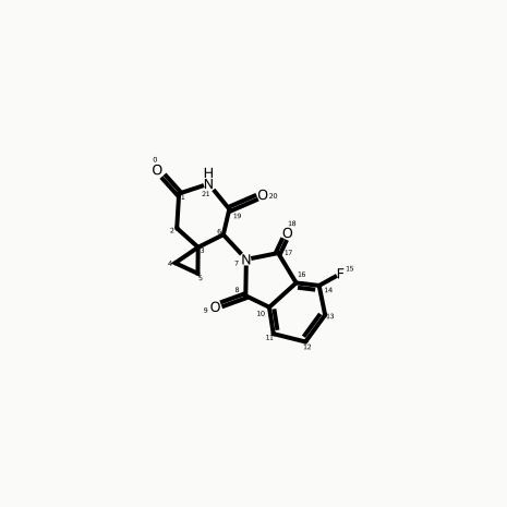 O=C1CC2(CC2)C(N2C(=O)c3cccc(F)c3C2=O)C(=O)N1